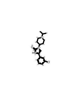 CC(C)N1CCC(n2cc(-c3cccc(Cl)c3)[nH]c2=O)CC1